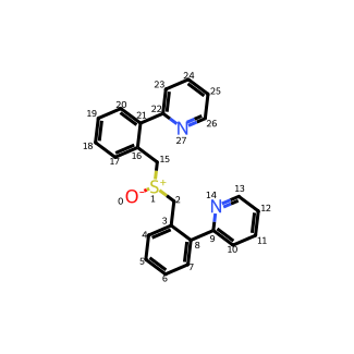 [O-][S+](Cc1ccccc1-c1ccccn1)Cc1ccccc1-c1ccccn1